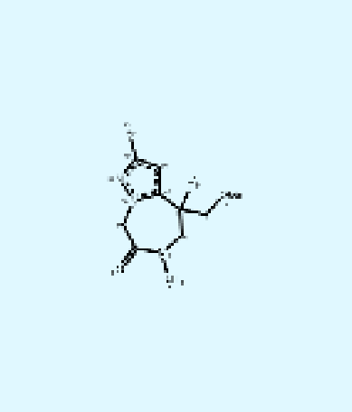 COCC1(O)CN(C)C(=O)Cn2nc(Br)cc21